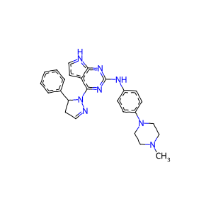 CN1CCN(c2ccc(Nc3nc(N4N=CCC4c4ccccc4)c4cc[nH]c4n3)cc2)CC1